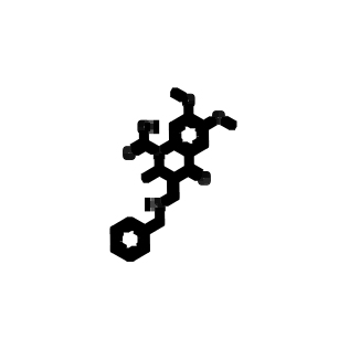 COc1cc2c(cc1OC)N(C(=O)O)C(C)C(=CNCc1ccccc1)C2=O